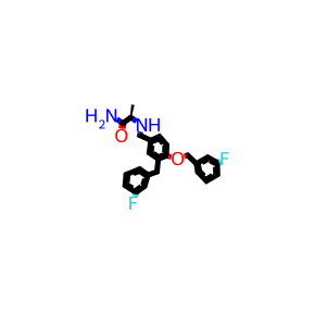 C[C@@H](NCc1ccc(OCc2cccc(F)c2)c(Cc2cccc(F)c2)c1)C(N)=O